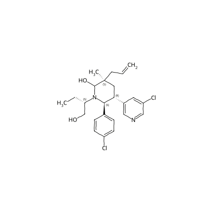 C=CC[C@@]1(C)C[C@H](c2cncc(Cl)c2)[C@@H](c2ccc(Cl)cc2)N([C@@H](CC)CO)C1O